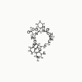 COC(=O)[C@@H]1C[C@@H]2CN1C(=O)[C@H](C1CCCCC1)NC(=O)O[C@@H]1C[C@H]1CCCCCc1c(nc3ccccc3c1O[C@H]1CCN(C)C[C@H]1F)O2